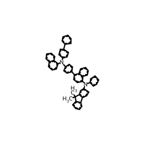 CC1(C)c2ccccc2-c2ccc(N(c3ccccc3)c3ccc(-c4ccc(N(c5ccc(-c6ccccc6)cc5)c5cccc6ccccc56)cc4)c4ccccc34)cc21